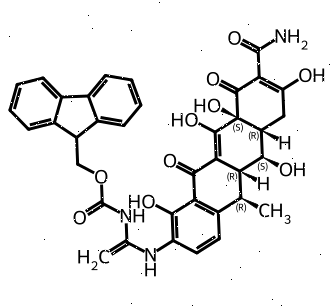 C=C(NC(=O)OCC1c2ccccc2-c2ccccc21)Nc1ccc2c(c1O)C(=O)C1=C(O)[C@]3(O)C(=O)C(C(N)=O)=C(O)C[C@@H]3[C@@H](O)[C@@H]1[C@H]2C